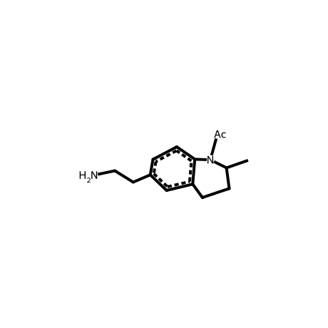 CC(=O)N1c2ccc(CCN)cc2CCC1C